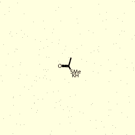 CSC(C)=O.[KH]